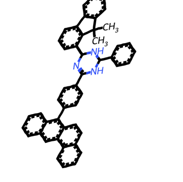 CC1(C)c2ccccc2-c2cccc(C3N=C(c4ccc(-c5c6ccccc6cc6c5ccc5ccccc56)cc4)NC(c4ccccc4)N3)c21